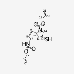 C=CCOC(=O)NC/C=C\C1CC(S)CN1C(=O)OCC=C